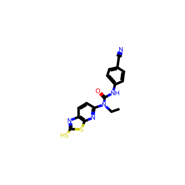 CCN(C(=O)Nc1ccc(C#N)cc1)c1ccc2nc(S)sc2n1